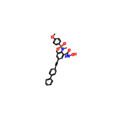 COc1ccc(S(=O)(=O)N(C)c2c(C)cc(C#Cc3ccc(-c4ccccc4)cc3)cc2C(=O)NO)cc1